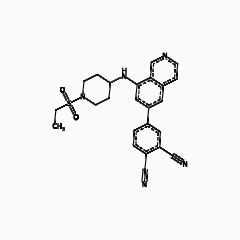 CCS(=O)(=O)N1CCC(Nc2cc(-c3ccc(C#N)c(C#N)c3)cc3ccncc23)CC1